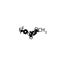 C=CC(=O)N1CCN2C(=O)CN(c3ccc(C(F)(F)F)cc3)CC2C1